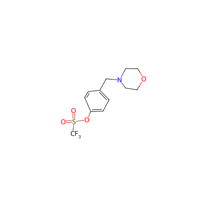 O=S(=O)(Oc1ccc(CN2CCOCC2)cc1)C(F)(F)F